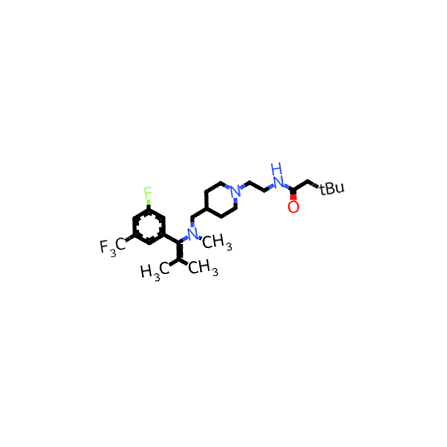 CC(C)=C(c1cc(F)cc(C(F)(F)F)c1)N(C)CC1CCN(CCNC(=O)CC(C)(C)C)CC1